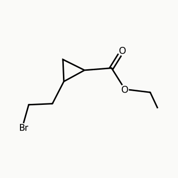 CCOC(=O)C1CC1CCBr